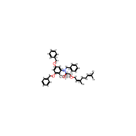 CCOC(=O)c1c(OCc2ccccc2)cc(OCc2ccccc2)cc1N(Cc1ccccc1)C(=O)COCC=C(C)CCC=C(C)C